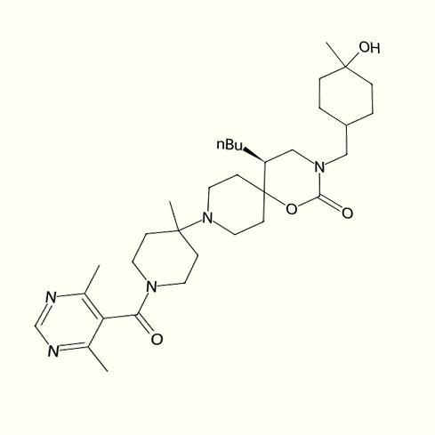 CCCC[C@H]1CN(CC2CCC(C)(O)CC2)C(=O)OC12CCN(C1(C)CCN(C(=O)c3c(C)ncnc3C)CC1)CC2